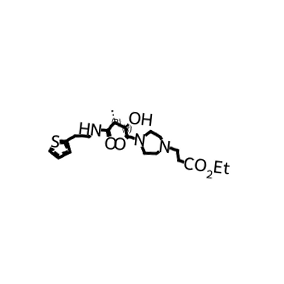 CCOC(=O)CCN1CCN(C(=O)[C@H](O)[C@@H](C)C(=O)NCCc2cccs2)CC1